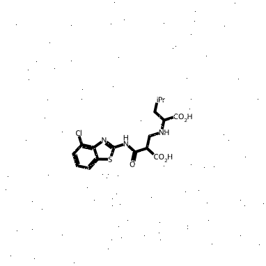 CC(C)CC(NCC(C(=O)O)C(=O)Nc1nc2c(Cl)cccc2s1)C(=O)O